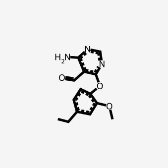 CCc1ccc(Oc2ncnc(N)c2C=O)c(OC)c1